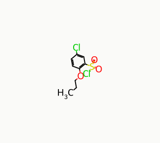 CCCOc1ccc(Cl)cc1S(=O)(=O)Cl